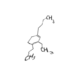 CCCCC1=CC(CC)=C(CCC)CC1